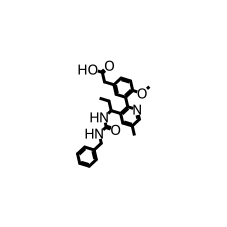 CCC(NC(=O)NCc1ccccc1)c1cc(C)cnc1-c1cc(CC(=O)O)ccc1OC